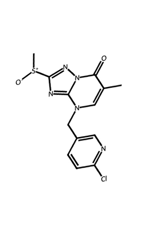 Cc1cn(Cc2ccc(Cl)nc2)c2nc([S+](C)[O-])nn2c1=O